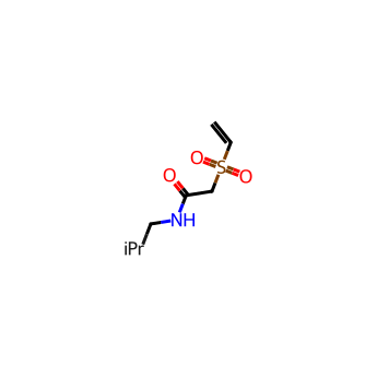 C=CS(=O)(=O)CC(=O)NCC(C)C